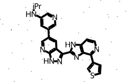 CC(C)Nc1cncc(-c2cnc3[nH]nc(-c4nc5c(-c6ccsc6)nccc5[nH]4)c3c2)c1